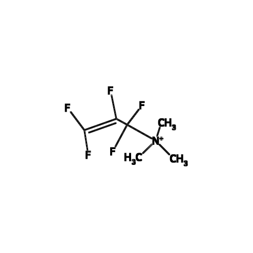 C[N+](C)(C)C(F)(F)C(F)=C(F)F